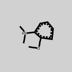 [CH2][SH](C)c1ccccc1OC